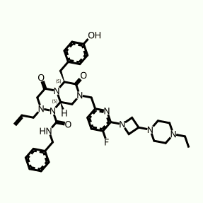 C=CCN1CC(=O)N2[C@@H](Cc3ccc(O)cc3)C(=O)N(Cc3ccc(F)c(N4CC(N5CCN(CC)CC5)C4)n3)C[C@@H]2N1C(=O)NCc1ccccc1